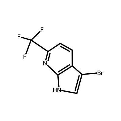 FC(F)(F)c1ccc2c(Br)c[nH]c2n1